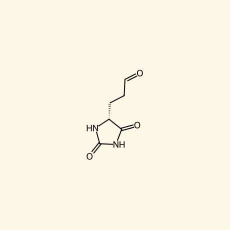 O=CCC[C@H]1NC(=O)NC1=O